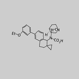 CCOc1cccc(-c2ccc3c(c2)CCC2(CC2)C3N(C(=O)O)[C@@H]2CN3CCC2CC3)c1